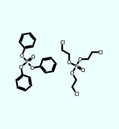 O=P(OCCCl)(OCCCl)OCCCl.O=P(Oc1ccccc1)(Oc1ccccc1)Oc1ccccc1